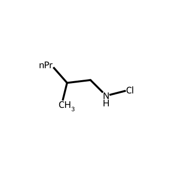 CCCC(C)CNCl